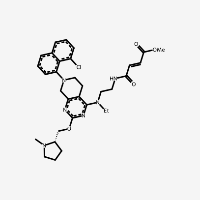 CCN(CCNC(=O)/C=C/C(=O)OC)c1nc(OC[C@@H]2CCCN2C)nc2c1CCN(c1cccc3cccc(Cl)c13)C2